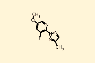 COc1cnc(-n2ncc(C)n2)c(F)c1